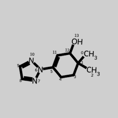 CC1(C)CCC(n2nccn2)=CC1O